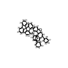 c1ccc(-c2ccc(N(c3cccc4c3-c3ccccc3C43c4ccccc4-c4ccccc43)c3cccc4oc5cc(-c6ccccc6)c6ccccc6c5c34)cc2)cc1